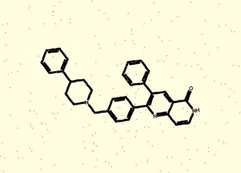 O=c1[nH]ccc2nc(-c3ccc(CN4CCC(c5ccccc5)CC4)cc3)c(-c3ccccc3)cc12